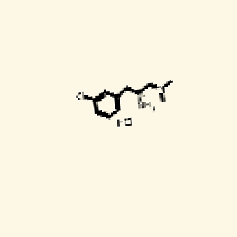 CN(C)C[C@@H](N)Cc1cccc(Cl)c1.Cl